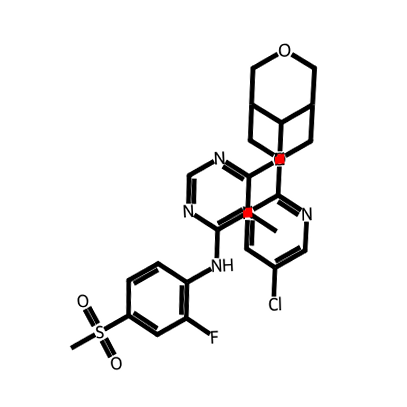 Cc1c(Nc2ccc(S(C)(=O)=O)cc2F)ncnc1OC1C2COCC1CN(c1ncc(Cl)cn1)C2